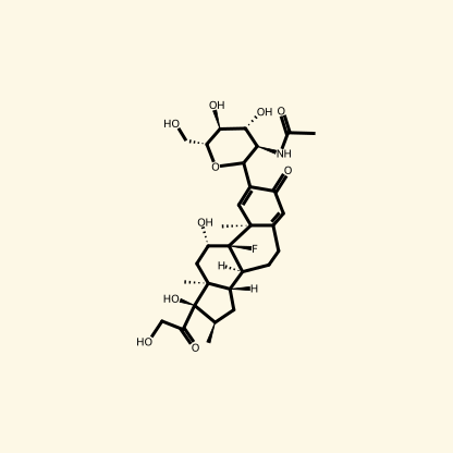 CC(=O)N[C@H]1C(C2=C[C@@]3(C)C(=CC2=O)CC[C@H]2[C@@H]4C[C@@H](C)[C@](O)(C(=O)CO)[C@@]4(C)C[C@H](O)[C@@]23F)O[C@H](CO)[C@@H](O)[C@@H]1O